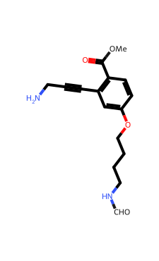 COC(=O)c1ccc(OCCCCNC=O)cc1C#CCN